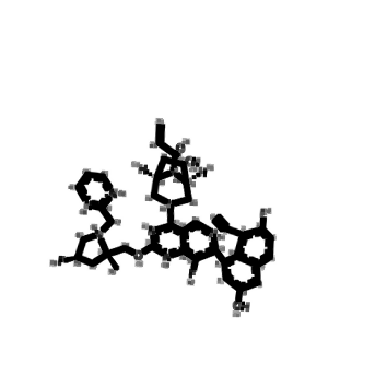 C#Cc1c(F)ccc2cc(O)cc(-c3ncc4c(N5C[C@H]6CC(C#N)[C@@H](C5)N6C(=O)C=C)nc(OC[C@]5(C)C[C@@H](F)CN5Cc5ncccn5)nc4c3F)c12